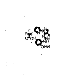 COc1ccccc1Nc1ncc2cnn(-c3ccccn3)c2n1.O=C(O)C(F)(F)F